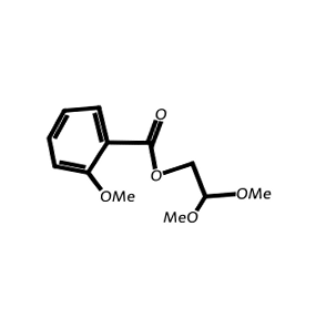 COc1ccccc1C(=O)OCC(OC)OC